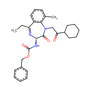 CCC1=N[C@H](NC(=O)OCc2ccccc2)C(=O)N(CC(=O)C2CCCCC2)c2c(C)cccc21